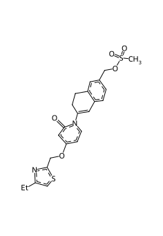 CCc1csc(COc2ccn(C3=Cc4ccc(COS(C)(=O)=O)cc4CC3)c(=O)c2)n1